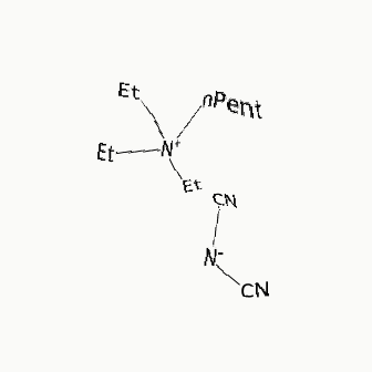 CCCCC[N+](CC)(CC)CC.N#C[N-]C#N